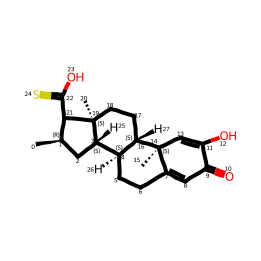 C[C@@H]1C[C@H]2[C@@H]3CCC4=CC(=O)C(O)=C[C@]4(C)[C@H]3CC[C@]2(C)C1C(O)=S